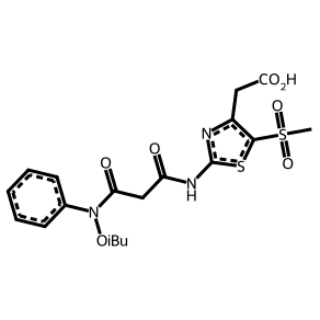 CC(C)CON(C(=O)CC(=O)Nc1nc(CC(=O)O)c(S(C)(=O)=O)s1)c1ccccc1